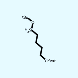 CCCCCCCCC[SiH2]OC(C)(C)C